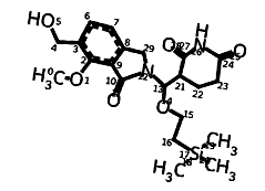 COc1c(CO)ccc2c1C(=O)N(C(OCC[Si](C)(C)C)C1CCC(=O)NC1=O)C2